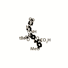 COc1ccc2c(c1)[C@]1(C[C@H]1c1ccc3c(Nc4cc(N5CCS(=O)(=O)CC5)ncn4)nn(C(=O)OC(C)(C)C)c3c1)C(=O)N2C(=O)O